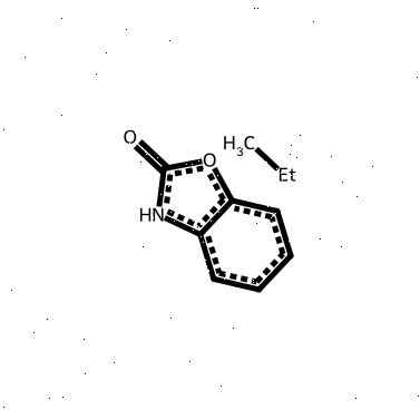 CCC.O=c1[nH]c2ccccc2o1